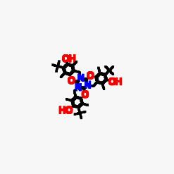 Cc1cc(Cn2c(=O)n(Cc3cc(C)c(C(C)(C)C)c(O)c3C)c(=O)n(Cc3cc(C)c(C(C)(C)C)c(O)c3C)c2=O)c(C)c(O)c1C(C)(C)C